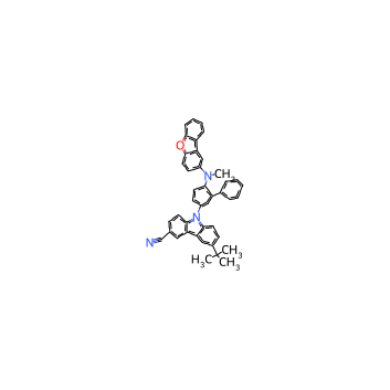 CN(c1ccc2oc3ccccc3c2c1)c1ccc(-n2c3ccc(C#N)cc3c3cc(C(C)(C)C)ccc32)cc1-c1ccccc1